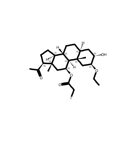 CCO[C@H]1C[C@@]2(C)[C@@H](CC[C@@H]3[C@@H]2[C@@H](OC(=O)CI)C[C@]2(C)[C@@H](C(C)=O)CC[C@@H]32)C[C@@H]1O